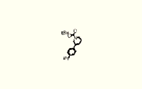 CC(C)c1ccc(C2CCCN(C(=O)OC(C)(C)C)C2)cc1